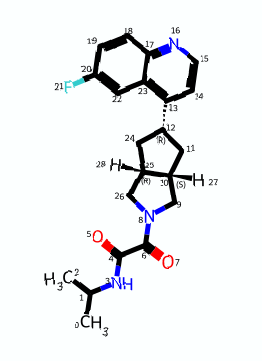 CC(C)NC(=O)C(=O)N1C[C@H]2C[C@@H](c3ccnc4ccc(F)cc34)C[C@H]2C1